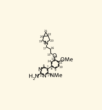 CNc1nc(N)ncc1-c1ccc(OC)c(OCCCN2CC3CC3C2)c1